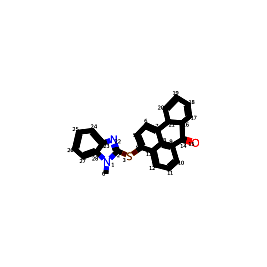 Cn1c(Sc2ccc3c4c(cccc24)C(=O)C2C=CC=CC32)nc2ccccc21